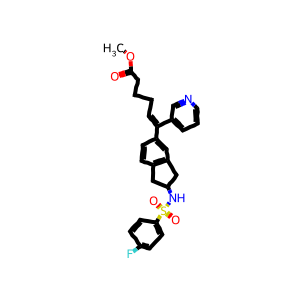 COC(=O)CCC/C=C(\c1cccnc1)c1ccc2c(c1)CC(NS(=O)(=O)c1ccc(F)cc1)C2